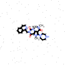 CN(C)C(=O)c1c(N2CCCNCC2)n(C)c2c(=O)n(Cc3nccc4ccccc34)c(=O)n(C)c12